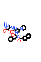 CC(NC(=O)[C@@H]1C[C@@H](N2CCCCC2)CN1C(=O)/C(CC1CCCCC1)=N/C(=O)c1ccc2ccccc2c1)C(=O)C(N)=O